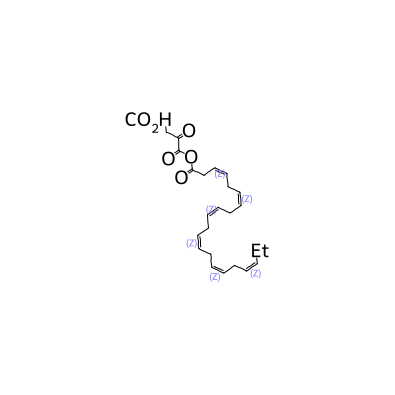 CC/C=C\C/C=C\C/C=C\C/C=C\C/C=C\C/C=C\CC(=O)OC(=O)C(=O)CC(=O)O